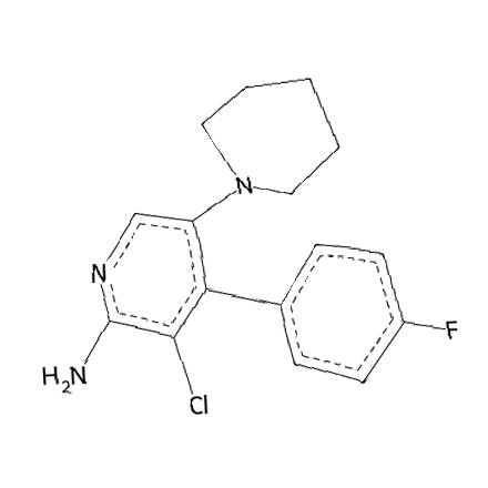 Nc1ncc(N2CCCCC2)c(-c2ccc(F)cc2)c1Cl